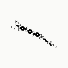 C=CC(=O)OCCCCOC(=O)Oc1ccc(C(=O)Oc2ccc(OC(=O)c3ccc(NC(=O)C(=C)C)cc3)cc2)cc1